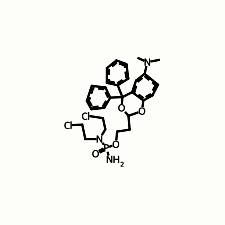 CN(C)c1ccc2c(c1)C(c1ccccc1)(c1ccccc1)OC(CCOP(N)(=O)N(CCCl)CCCl)O2